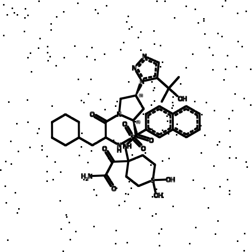 CC(C)(O)c1cnnn1[C@H]1C[C@@H](C(=O)NC2(C(=O)C(N)=O)CCS(O)(O)CC2)N(C(=O)C(CC2CCCCC2)NS(=O)(=O)c2ccc3ccccc3c2)C1